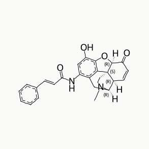 CN1CC[C@]23c4c5c(NC(=O)C=Cc6ccccc6)cc(O)c4O[C@H]2C(=O)C=C[C@H]3[C@H]1C5